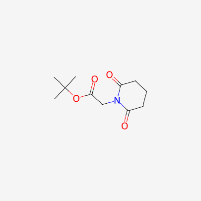 CC(C)(C)OC(=O)CN1C(=O)CCCC1=O